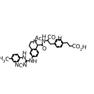 CC(=O)N1CCc2cc(NC(=NC#N)Nc3ccc(C)cc3)ccc2C1C(=O)NC(Cc1ccc(CCC(=O)O)cc1)C(=O)O